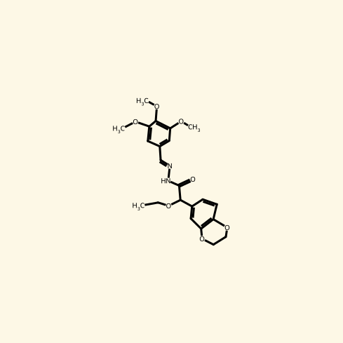 CCOC(C(=O)N/N=C/c1cc(OC)c(OC)c(OC)c1)c1ccc2c(c1)OCCO2